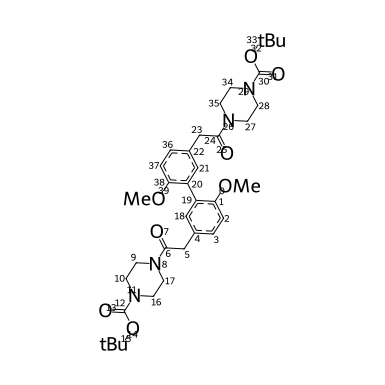 COc1ccc(CC(=O)N2CCN(C(=O)OC(C)(C)C)CC2)cc1-c1cc(CC(=O)N2CCN(C(=O)OC(C)(C)C)CC2)ccc1OC